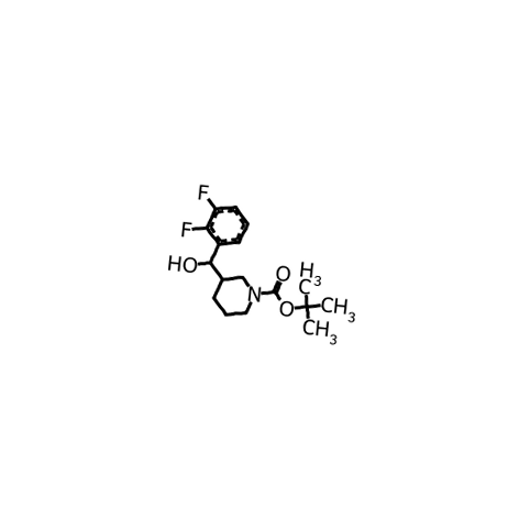 CC(C)(C)OC(=O)N1CCCC(C(O)c2cccc(F)c2F)C1